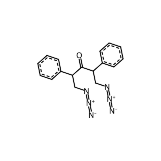 [N-]=[N+]=NCC(C(=O)C(CN=[N+]=[N-])c1ccccc1)c1ccccc1